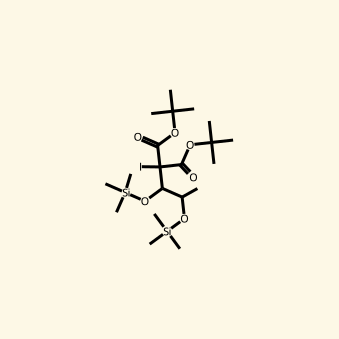 CC(O[Si](C)(C)C)C(O[Si](C)(C)C)C(I)(C(=O)OC(C)(C)C)C(=O)OC(C)(C)C